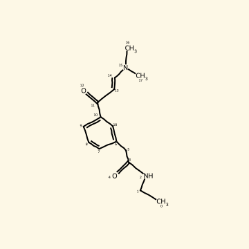 CCNC(=O)Cc1cccc(C(=O)C=CN(C)C)c1